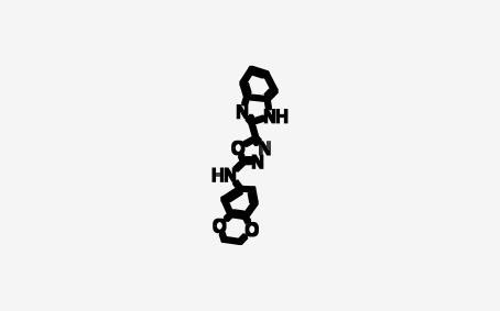 c1ccc2[nH]c(-c3nnc(Nc4ccc5c(c4)OCCO5)o3)nc2c1